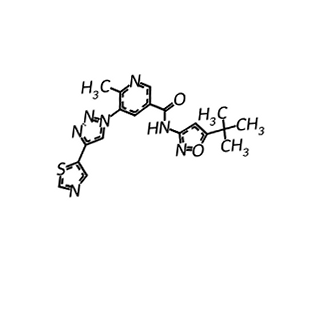 Cc1ncc(C(=O)Nc2cc(C(C)(C)C)on2)cc1-n1cc(-c2cncs2)nn1